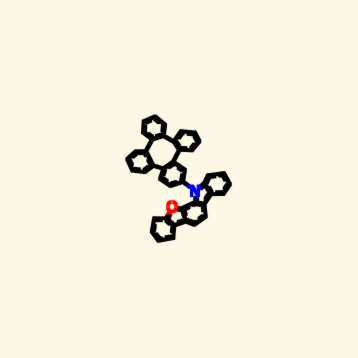 c1ccc2c(c1)-c1ccccc1-c1ccc(-n3c4ccccc4c4ccc5c6ccccc6oc5c43)cc1-c1ccccc1-2